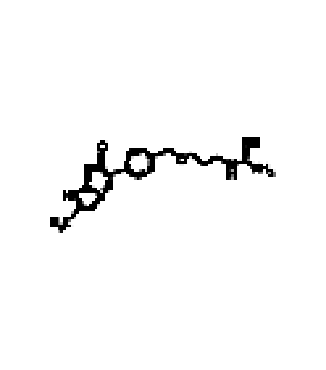 Cc1cn2cc(-c3ccc(COCCCNC(=N)N)cc3)c(=O)nc2[nH]1